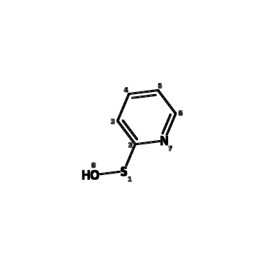 OSc1ccccn1